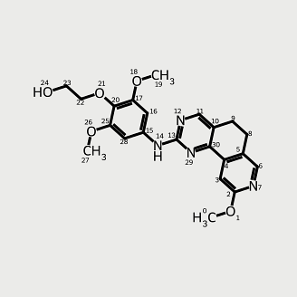 COc1cc2c(cn1)CCc1cnc(Nc3cc(OC)c(OCCO)c(OC)c3)nc1-2